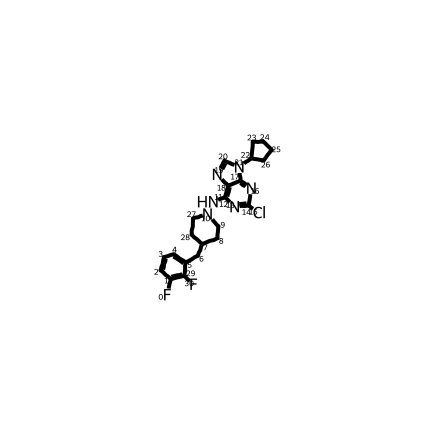 Fc1cccc(CC2CCN(Nc3nc(Cl)nc4c3ncn4C3CCCC3)CC2)c1F